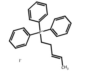 CC=CCC[P+](c1ccccc1)(c1ccccc1)c1ccccc1.[I-]